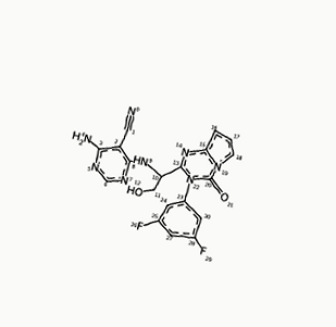 N#Cc1c(N)ncnc1NC(CO)c1nc2cccn2c(=O)n1-c1cc(F)cc(F)c1